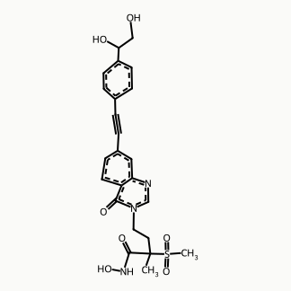 CC(CCn1cnc2cc(C#Cc3ccc(C(O)CO)cc3)ccc2c1=O)(C(=O)NO)S(C)(=O)=O